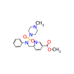 COC(=O)c1ccc(CN(c2ccccc2)S(=O)(=O)N2CCN(C)CC2)nc1